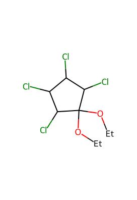 CCOC1(OCC)C(Cl)C(Cl)C(Cl)C1Cl